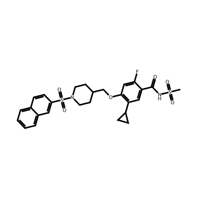 CS(=O)(=O)NC(=O)c1cc(C2CC2)c(OCC2CCN(S(=O)(=O)c3ccc4ccccc4c3)CC2)cc1F